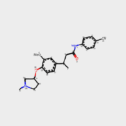 COc1cc(C(C)CC(=O)Nc2ccc(C#N)cc2)ccc1OC1CCN(C)C1